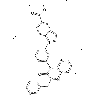 COC(=O)c1ccc2c(ccn2-c2cccc(-n3c(=O)c(Cc4cccnc4)nc4cccnc43)c2)c1